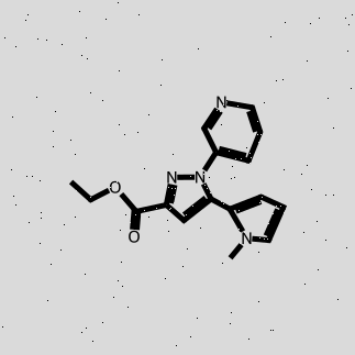 CCOC(=O)c1cc(-c2cccn2C)n(-c2cccnc2)n1